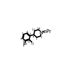 CCCN1CCC(c2cccc(F)c2C)CC1